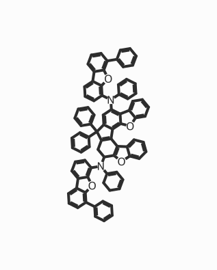 C1=CCCC(N(c2cccc3c2oc2c(-c4ccccc4)cccc23)C2CC3=C(c4c2oc2ccccc42)c2c(cc(N(c4ccccc4)c4cccc5c4oc4c(-c6ccccc6)cccc45)c4c2oc2ccccc24)C3(c2ccccc2)c2ccccc2)=C1